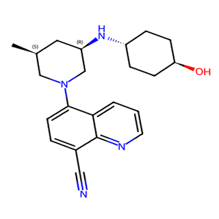 C[C@H]1C[C@@H](N[C@H]2CC[C@H](O)CC2)CN(c2ccc(C#N)c3ncccc23)C1